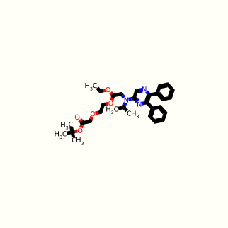 CCOC(CN(c1cnc(-c2ccccc2)c(-c2ccccc2)n1)C(C)C)OCCOCC(=O)OC(C)(C)C